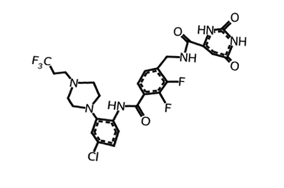 O=C(NCc1ccc(C(=O)Nc2ccc(Cl)cc2N2CCN(CCC(F)(F)F)CC2)c(F)c1F)c1cc(=O)[nH]c(=O)[nH]1